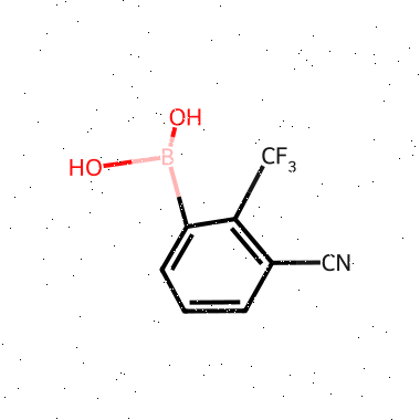 N#Cc1cccc(B(O)O)c1C(F)(F)F